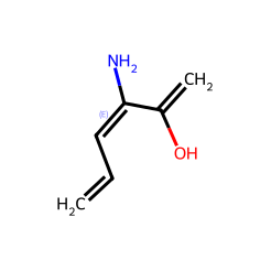 C=C/C=C(/N)C(=C)O